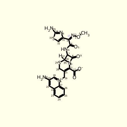 CO/N=C(\C(=O)NC1C(=O)N2C(C(=O)[O-])=C(C[n+]3cc(N)cc4ccccc43)CS[C@H]12)c1csc(N)n1